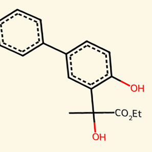 CCOC(=O)C(C)(O)c1cc(-c2ccccc2)ccc1O